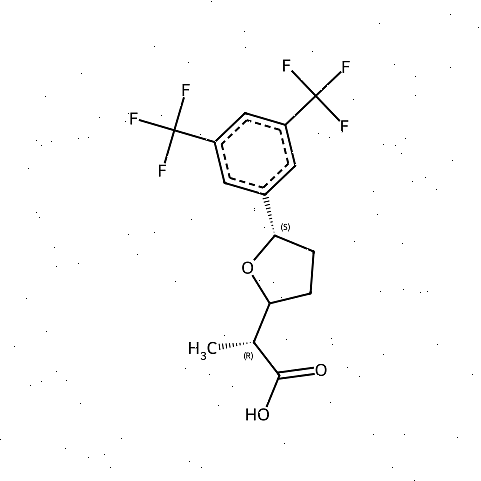 C[C@@H](C(=O)O)C1CC[C@@H](c2cc(C(F)(F)F)cc(C(F)(F)F)c2)O1